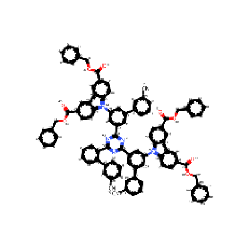 [C-]#[N+]c1cccc(-c2cc(-c3nc(-c4cc(-c5cccc(C#N)c5)cc(-n5c6ccc(C(=O)OCc7ccccc7)cc6c6cc(C(=O)OCc7ccccc7)ccc65)c4)nc(-c4ccccc4-c4cccc(C#N)c4)n3)cc(-n3c4ccc(C(=O)OCc5ccccc5)cc4c4cc(C(=O)OCc5ccccc5)ccc43)c2)c1